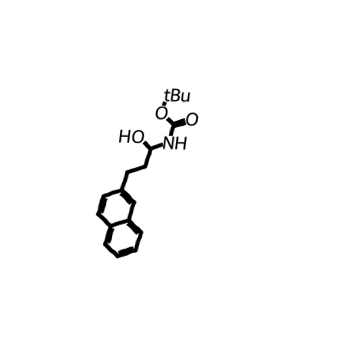 CC(C)(C)OC(=O)NC(O)CCc1ccc2ccccc2c1